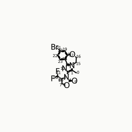 Cc1c(N2C(=O)OC[C@H]2C(F)F)nc2n1CCOc1cc(Br)ccc1-2